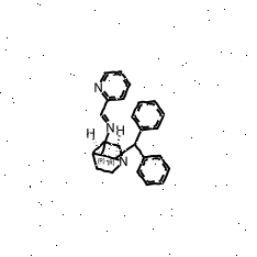 C(=N[C@@H]1C2CCN(CC2)[C@@H]1C(c1ccccc1)c1ccccc1)c1ccccn1